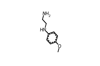 COc1ccc(NCCN)cc1